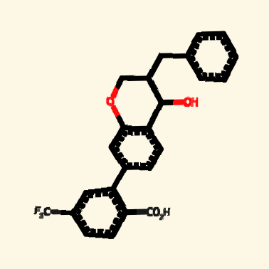 O=C(O)c1ccc(C(F)(F)F)cc1-c1ccc2c(c1)OCC(Cc1ccccc1)C2O